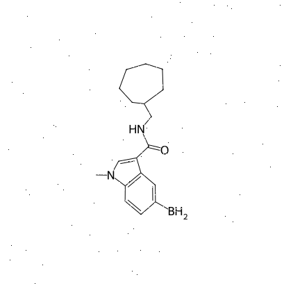 Bc1ccc2c(c1)c(C(=O)NCC1CCCCCC1)cn2C